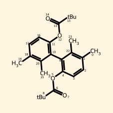 Cc1ccc(OC(=O)C(C)(C)C)c(-c2c(OC(=O)C(C)(C)C)ccc(C)c2C)c1C